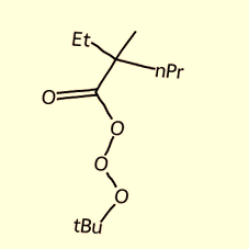 CCCC(C)(CC)C(=O)OOOC(C)(C)C